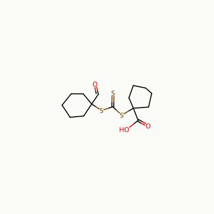 O=CC1(SC(=S)SC2(C(=O)O)CCCCC2)CCCCC1